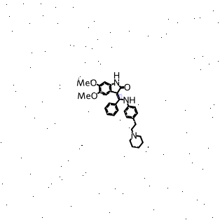 COc1cc2c(cc1OC)/C(=C(/Nc1ccc(CCN3CCCCC3)cc1)c1ccccc1)C(=O)N2